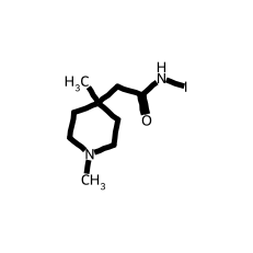 CN1CCC(C)(CC(=O)NI)CC1